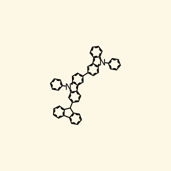 c1ccc(-n2c3ccccc3c3cc(-c4ccc5c(c4)c4ccc(C6c7ccccc7-c7ccccc76)cc4n5-c4ccccc4)ccc32)cc1